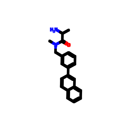 CC(N)C(=O)N(C)Cc1cccc(-c2ccc3ccccc3c2)c1